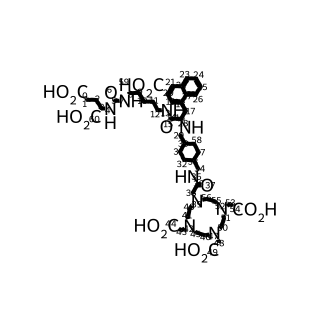 O=C(O)CCC(NC(=O)NC(CCCCNC(=O)C(Cc1cccc2ccccc12)NCC1CCC(CNC(=O)CN2CCN(CC(=O)O)CCN(CC(=O)O)CCN(CC(=O)O)CC2)CC1)C(=O)O)C(=O)O